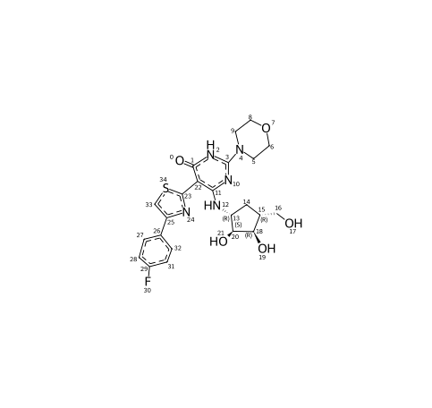 O=c1[nH]c(N2CCOCC2)nc(N[C@@H]2C[C@H](CO)[C@@H](O)[C@H]2O)c1-c1nc(-c2ccc(F)cc2)cs1